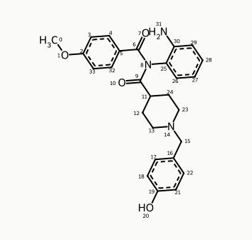 COc1ccc(C(=O)N(C(=O)C2CCN(Cc3ccc(O)cc3)CC2)c2ccccc2N)cc1